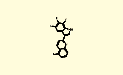 Fc1cc2c(-c3ccc4c(F)cccc4n3)c[nH]c2c(F)c1F